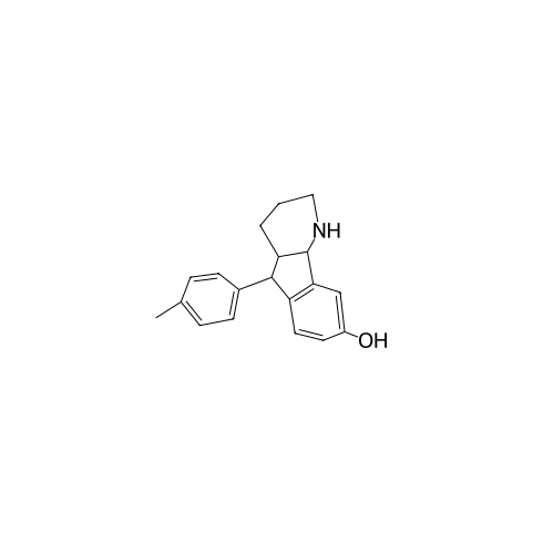 Cc1ccc(C2c3ccc(O)cc3C3NCCCC32)cc1